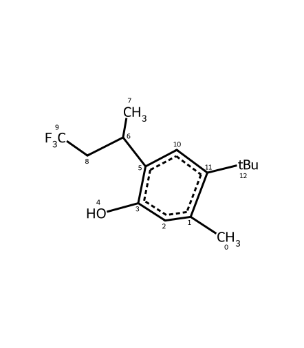 Cc1cc(O)c(C(C)CC(F)(F)F)cc1C(C)(C)C